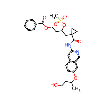 CC(CCO)Oc1ccc2cc(NC(=O)C3(CC(CCOC(=O)c4ccccc4)OS(C)(=O)=O)CC3)ncc2c1